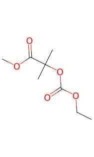 CCOC(=O)OC(C)(C)C(=O)OC